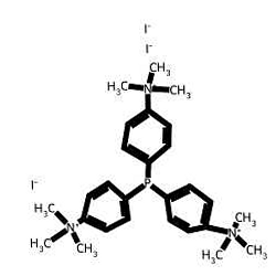 C[N+](C)(C)c1ccc(P(c2ccc([N+](C)(C)C)cc2)c2ccc([N+](C)(C)C)cc2)cc1.[I-].[I-].[I-]